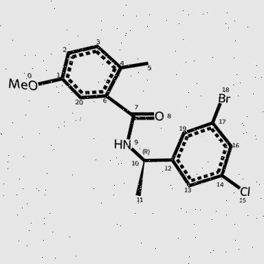 COc1ccc(C)c(C(=O)N[C@H](C)c2cc(Cl)cc(Br)c2)c1